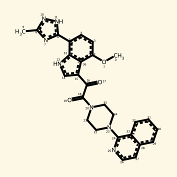 COc1ccc(-c2nc(C)n[nH]2)c2[nH]cc(C(=O)C(=O)N3CCN(c4nccc5ccccc45)CC3)c12